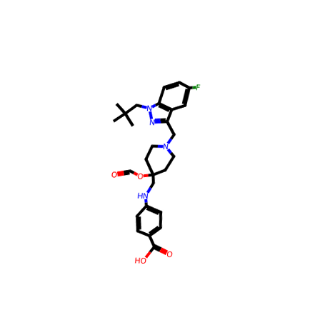 CC(C)(C)Cn1nc(CN2CCC(CNc3ccc(C(=O)O)cc3)(OC=O)CC2)c2cc(F)ccc21